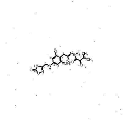 C=C(C(=O)N(C)/N=C(\C)Cc1c(Cl)cc(NCc2noc(=O)[nH]2)cc1Cl)C(C)C